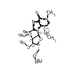 Cn1ccc2c(nc(Br)n2[C@@]2([SiH](C)C)O[C@H](COC(C)(C)C)[C@@H](OC(C)(C)C)[C@H]2OC(C)(C)C)c1=O